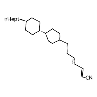 CCCCCCC[C@H]1CC[C@H](C2CCC(CCC=CC=CC#N)CC2)CC1